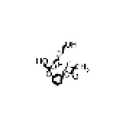 C=C(C)C(=O)O.OCCOCCOC(CO)Oc1ccccc1